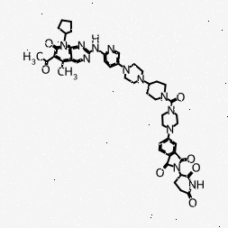 CC(=O)c1c(C)c2cnc(Nc3ccc(N4CCN(C5CCN(C(=O)N6CCN(c7ccc8c(c7)C(=O)N(C7CCC(=O)NC7=O)C8=O)CC6)CC5)CC4)cn3)nc2n(C2CCCC2)c1=O